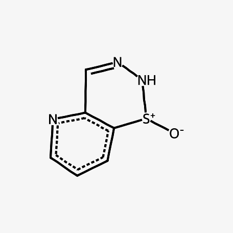 [O-][S+]1NN=Cc2ncccc21